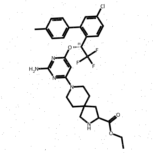 CCOC(=O)C1CC2(CCN(c3cc(O[C@H](c4ccc(Cl)cc4-c4ccc(C)cc4)C(F)(F)F)nc(N)n3)CC2)CN1